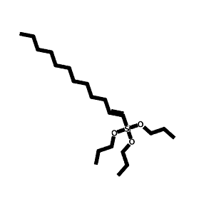 CCCCCCCCCCC=C[Si](OCCC)(OCCC)OCCC